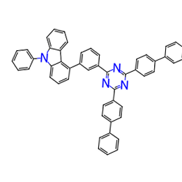 c1ccc(-c2ccc(-c3nc(-c4ccc(-c5ccccc5)cc4)nc(-c4cccc(-c5cccc6c5c5ccccc5n6-c5ccccc5)c4)n3)cc2)cc1